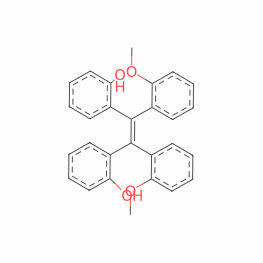 COc1ccccc1/C(=C(/c1ccccc1O)c1ccccc1OC)c1ccccc1O